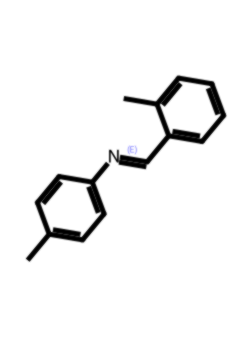 Cc1ccc(/N=C/c2ccccc2C)cc1